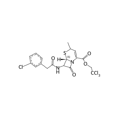 CC1C=C(C(=O)OCC(Cl)(Cl)Cl)N2C(=O)C(NC(=O)Cc3cccc(Cl)c3)[C@@H]2S1